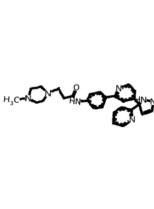 CN1CCN(CCC(=O)Nc2ccc(-c3cc(C4(c5ccccn5)C=CNN4)ccn3)cc2)CC1